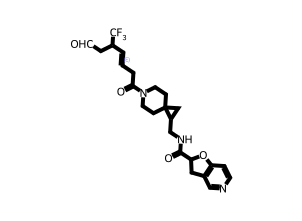 O=CCC(/C=C/CC(=O)N1CCC2(CC1)CC2CNC(=O)C1Cc2cnccc2O1)C(F)(F)F